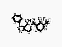 CC1c2c(nnn2-c2ccccc2)CCN1C(=O)c1cccc(C(F)(F)F)c1Cl